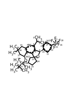 CC(C)c1nc2c(c3c1[C@@H](c1ccc(S(F)(F)(F)(F)F)cc1)OC31CCCC1)[C@@H](O[Si](C)(C)C(C)(C)C)CC(C)(C)C2